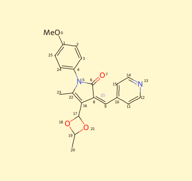 COc1ccc(N2C(=O)/C(=C\c3ccncc3)C(C3OC(C)O3)=C2C)cc1